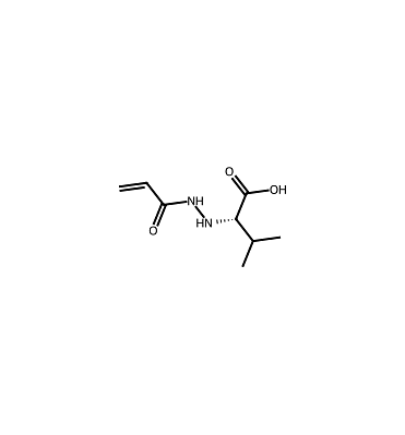 C=CC(=O)NN[C@H](C(=O)O)C(C)C